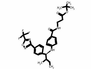 CCC(C)[C@H](Nc1ccc(C(=O)NCCC(=O)OC(C)(C)C)cc1)c1ccc(-c2noc(C(F)(F)F)n2)cc1